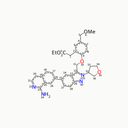 CCOC(=O)Cc1cc(COC)ccc1OCc1c2cc(-c3ccc4ccnc(N)c4c3)ccc2nn1C1CCOC1